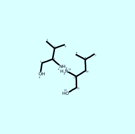 CC(C)C(N)CO.CC(C)CC(N)CO